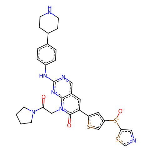 O=C(Cn1c(=O)c(-c2cc([S+]([O-])c3cncs3)cs2)cc2cnc(Nc3ccc(C4CCNCC4)cc3)nc21)N1CCCC1